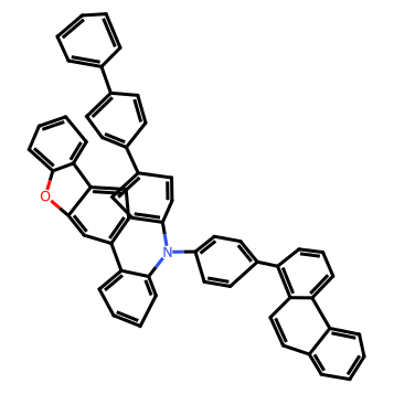 c1ccc(-c2ccc(-c3ccc(N(c4ccc(-c5cccc6c5ccc5ccccc56)cc4)c4ccccc4-c4ccc5c(c4)oc4ccccc45)cc3)cc2)cc1